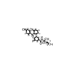 C#CC(C)(C)NC(=O)c1ccc(OC(c2ccc(Cl)cc2)c2ccccc2Cl)c(F)c1